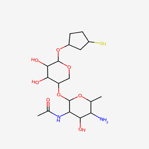 CC(=O)NC1C(OC2COC(OC3CCC(S)C3)C(O)C2O)OC(C)C(N)C1O